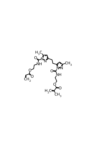 C=CC(=O)OCCNC(=O)n1nc(CCc2cc(C)nn2C(=O)NCCOC(=O)C(=C)C)cc1C